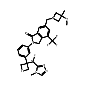 COC1(C)CN(Cc2cc3c(c(C(F)(F)F)c2)CN(c2cccc(C4([C@@H](F)c5nncn5C)COC4)c2)C3=O)C1